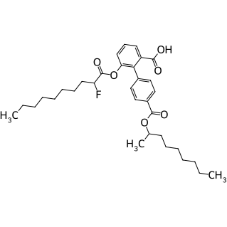 CCCCCCCCC(F)C(=O)Oc1cccc(C(=O)O)c1-c1ccc(C(=O)OC(C)CCCCCCC)cc1